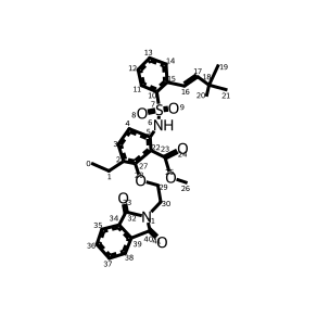 CCc1ccc(NS(=O)(=O)c2ccccc2C=CC(C)(C)C)c(C(=O)OC)c1OCCN1C(=O)c2ccccc2C1=O